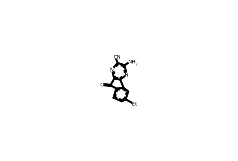 CCc1ccc2c(c1)-c1nc(N)c(C#N)nc1C2=O